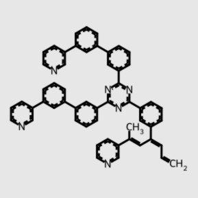 C=C/C=C(\C=C(/C)c1cccnc1)c1cccc(-c2nc(-c3cccc(-c4cccc(-c5cccnc5)c4)c3)nc(-c3cccc(-c4cccc(-c5cccnc5)c4)c3)n2)c1